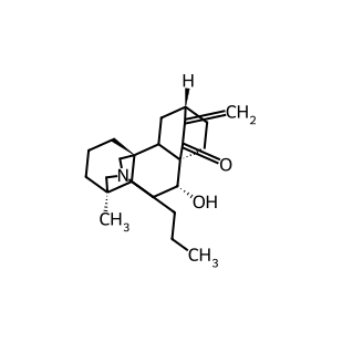 C=C1C(=O)[C@]23CC[C@H]1CC2[C@@]12CCC[C@@](C)(CN(CCC)C1)C2C[C@H]3O